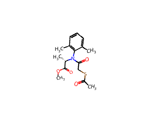 COC(=O)[C@H](C)N(C(=O)CSC(C)=O)c1c(C)cccc1C